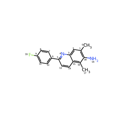 Cc1cc2nc(-c3ccc(F)cc3)ccc2c(C)c1N